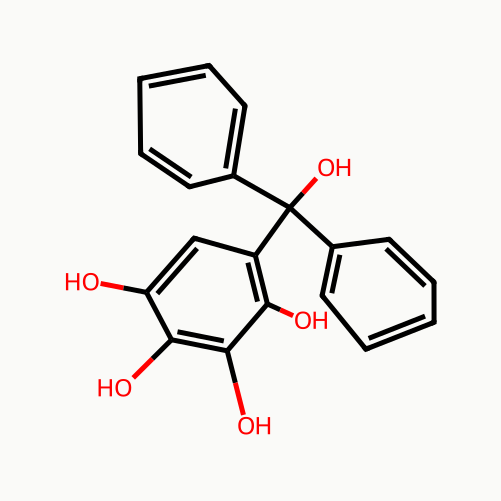 Oc1cc(C(O)(c2ccccc2)c2ccccc2)c(O)c(O)c1O